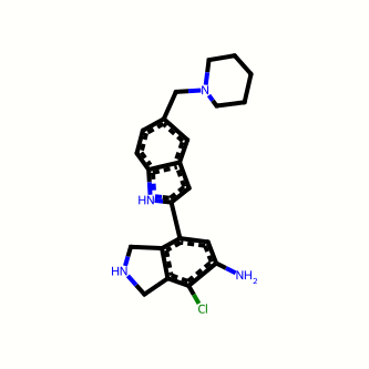 Nc1cc(-c2cc3cc(CN4CCCCC4)ccc3[nH]2)c2c(c1Cl)CNC2